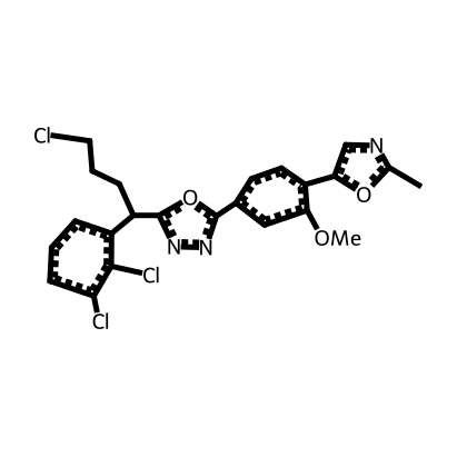 COc1cc(-c2nnc(C(CCCCl)c3cccc(Cl)c3Cl)o2)ccc1-c1cnc(C)o1